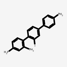 Pc1ccc(-c2ccc(-c3ccc(P)cc3P)c(I)c2)cc1